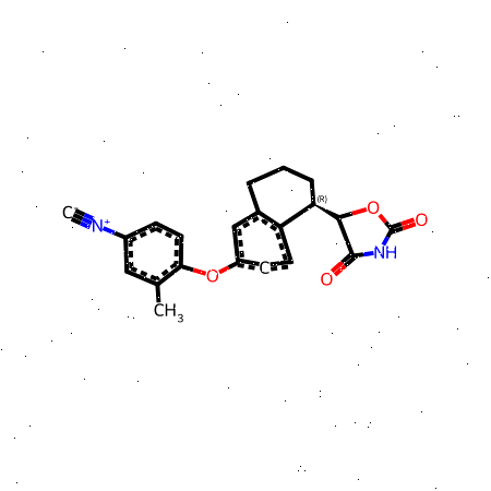 [C-]#[N+]c1ccc(Oc2ccc3c(c2)CCC[C@H]3C2OC(=O)NC2=O)c(C)c1